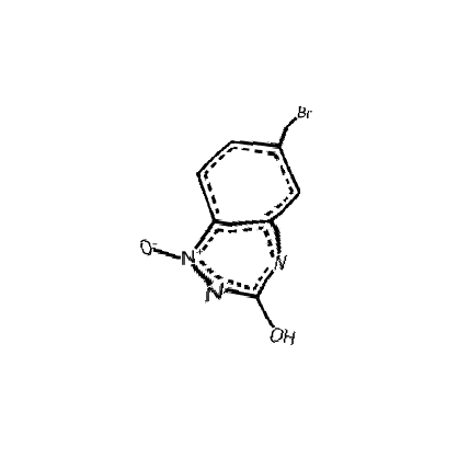 [O-][n+]1nc(O)nc2cc(Br)ccc21